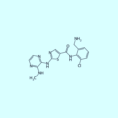 CNc1nccnc1Nc1ncc(C(=O)Nc2c(Cl)cccc2CN)s1